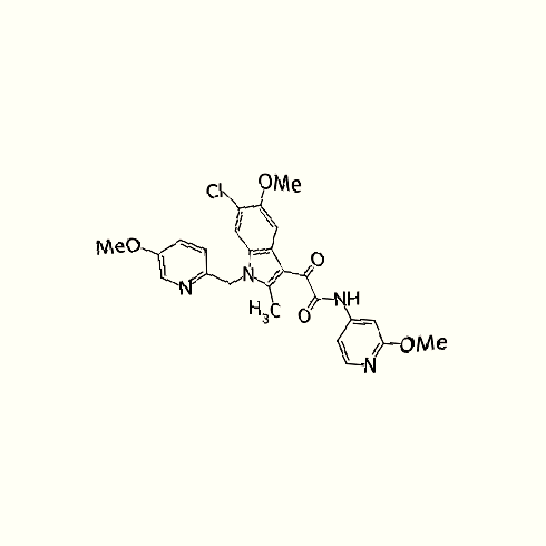 COc1ccc(Cn2c(C)c(C(=O)C(=O)Nc3ccnc(OC)c3)c3cc(OC)c(Cl)cc32)nc1